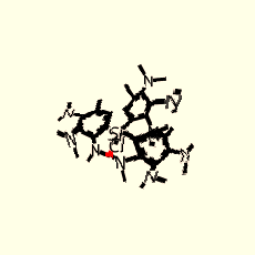 Cc1cc([Si](Cl)(c2cc(C)c(N(C)C)c(N(C)C)c2N(C)C)c2cc(C)c(N(C)C)c(N(C)C)c2N(C)C)c(N(C)C)c(N(C)C)c1N(C)C